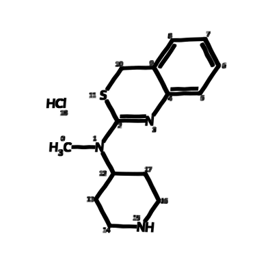 CN(C1=Nc2ccccc2CS1)C1CCNCC1.Cl